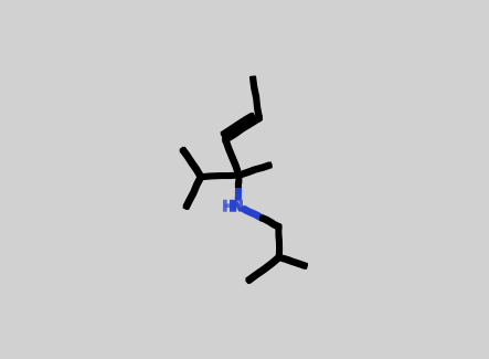 CC=CC(C)(NCC(C)C)C(C)C